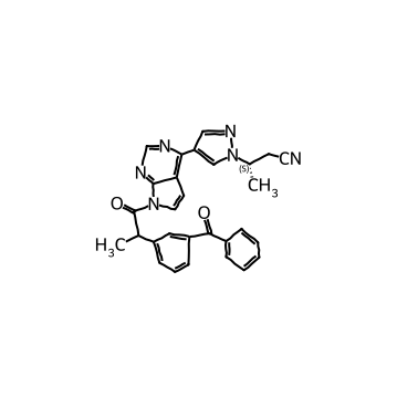 CC(C(=O)n1ccc2c(-c3cnn([C@@H](C)CC#N)c3)ncnc21)c1cccc(C(=O)c2ccccc2)c1